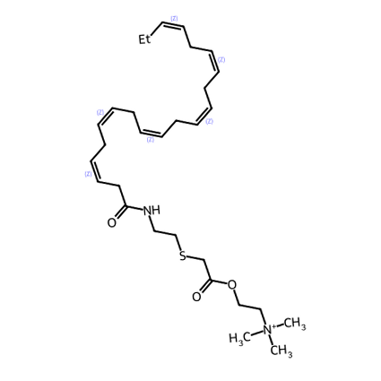 CC/C=C\C/C=C\C/C=C\C/C=C\C/C=C\C/C=C\CC(=O)NCCSCC(=O)OCC[N+](C)(C)C